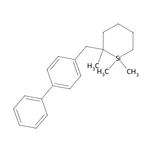 CC1(Cc2ccc(-c3ccccc3)cc2)CCCC[Si]1(C)C